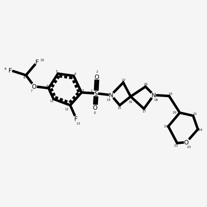 O=S(=O)(c1ccc(OC(F)F)cc1F)N1CC2(CN(CC3CCOCC3)C2)C1